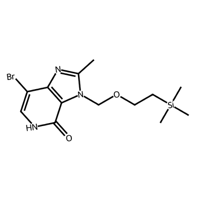 Cc1nc2c(Br)c[nH]c(=O)c2n1COCC[Si](C)(C)C